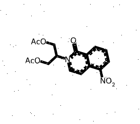 CC(=O)OCC(COC(C)=O)n1ccc2c([N+](=O)[O-])cccc2c1=O